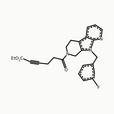 CCOC(=O)C#CCCC(=O)N1CCc2c(n(Cc3cccc(F)c3)c3ncccc23)C1